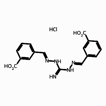 Cl.N=C(NN=Cc1cccc(C(=O)O)c1)NN=Cc1cccc(C(=O)O)c1